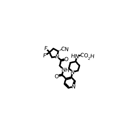 N#C[C@H]1CC(F)(F)CN1C(=O)CNC(=O)c1ccncc1N1CCC(NC(=O)O)CC1